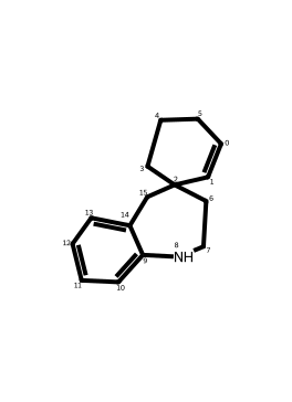 C1=CC2(CCC1)CCNc1ccccc1C2